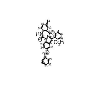 O=C(O)C(c1ccccc1)N1C(=O)c2cc(I)ccc2NC(=O)C1c1ccc(OCc2ccccc2)cc1